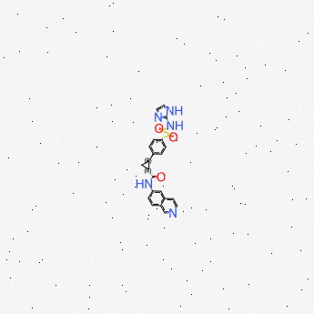 O=C(Nc1ccc2cnccc2c1)[C@@H]1C[C@H]1c1ccc(S(=O)(=O)Nc2ncc[nH]2)cc1